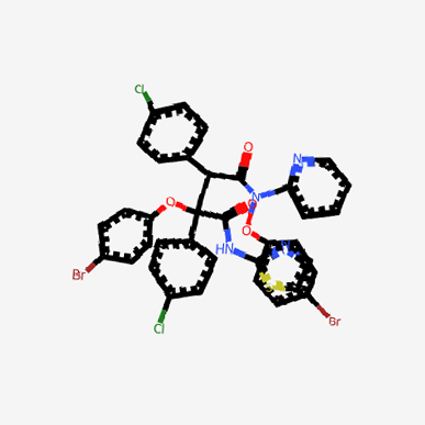 O=C(C(c1ccc(Cl)cc1)C(Oc1ccc(Br)cc1)(C(=O)Nc1nccs1)c1ccc(Cl)cc1)N(Oc1ccc(Br)cc1)c1ccccn1